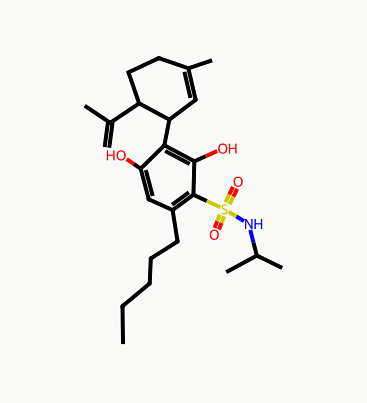 C=C(C)C1CCC(C)=CC1c1c(O)cc(CCCCC)c(S(=O)(=O)NC(C)C)c1O